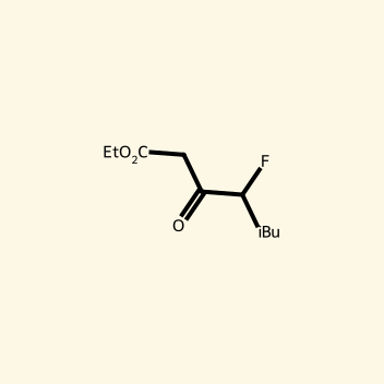 CCOC(=O)CC(=O)C(F)C(C)CC